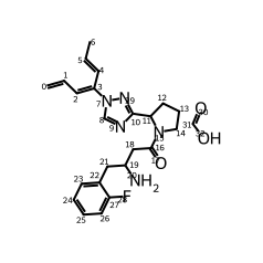 C=CC=C(C=CC)n1cnc(C2CCCN2C(=O)CC(N)Cc2ccccc2F)n1.O=CO